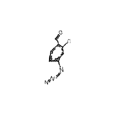 [N-]=[N+]=Nc1ccc(C=O)c(Cl)c1